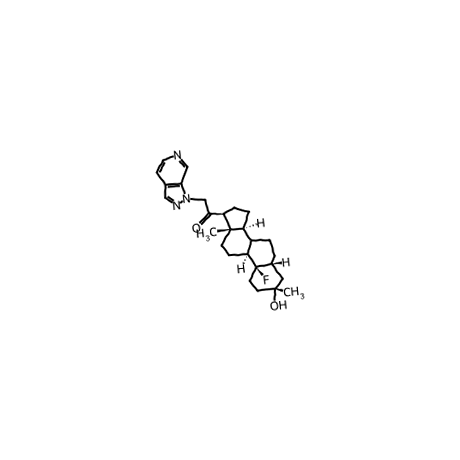 C[C@@]1(O)CC[C@@]2(F)[C@H](CCC3[C@@H]4CC[C@H](C(=O)Cn5ncc6ccncc65)[C@@]4(C)CC[C@@H]32)C1